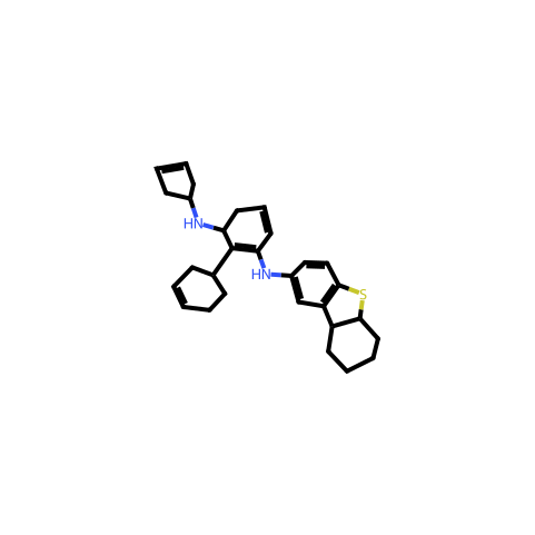 C1=CCC(C2=C(Nc3ccc4c(c3)C3CCCCC3S4)C=CCC2NC2CC=CC2)CC1